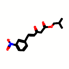 CC(C)COC(=O)CC(=O)C=Cc1cccc([N+](=O)[O-])c1